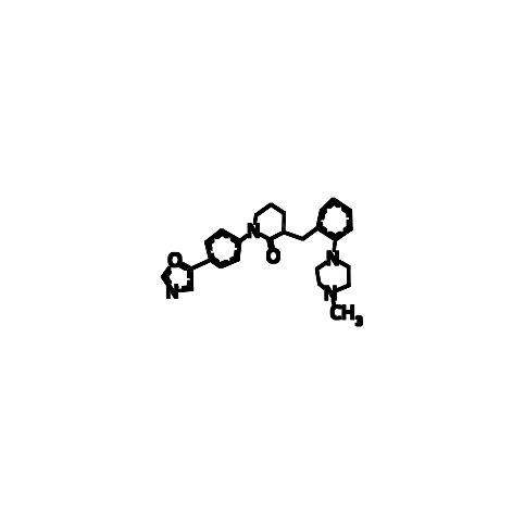 CN1CCN(c2ccccc2CC2CCCN(c3ccc(-c4cnco4)cc3)C2=O)CC1